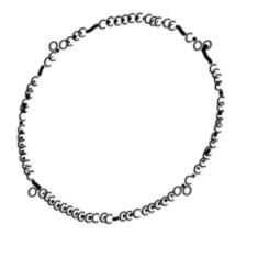 O=C1CCCCCCCCCCCCCCCCCCCCC(=O)OCCCCCCCCCCCCCCCCCCCCOC(=O)CCCCCCCCCCCCCCCCCCCCC(=O)OCCCCCCCCCCCCCCCCCCCCO1